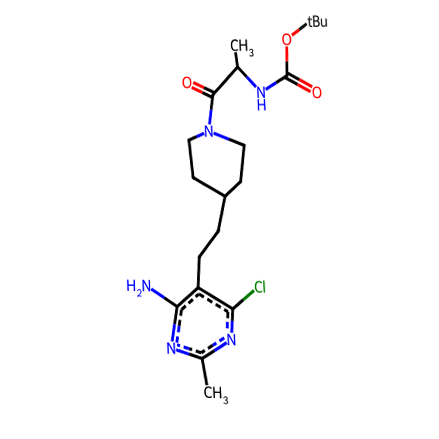 Cc1nc(N)c(CCC2CCN(C(=O)C(C)NC(=O)OC(C)(C)C)CC2)c(Cl)n1